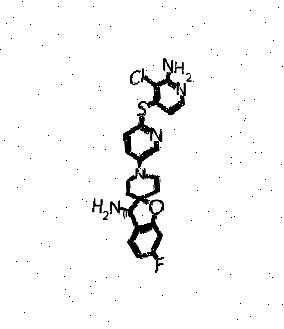 Nc1nccc(Sc2ccc(N3CCC4(CC3)Oc3cc(F)ccc3[C@H]4N)cn2)c1Cl